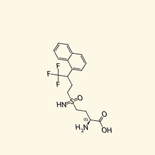 N=S(=O)(CCC(c1cccc2ccccc12)C(F)(F)F)CC[C@H](N)C(=O)O